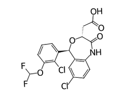 O=C(O)C[C@H]1O[C@H](c2cccc(OC(F)F)c2Cl)c2cc(Cl)ccc2NC1=O